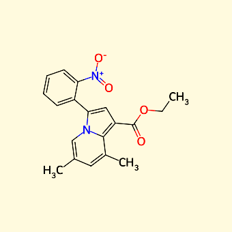 CCOC(=O)c1cc(-c2ccccc2[N+](=O)[O-])n2cc(C)cc(C)c12